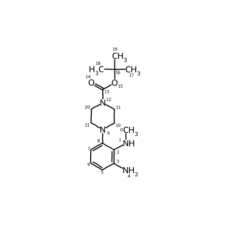 CNc1c(N)cccc1N1CCN(C(=O)OC(C)(C)C)CC1